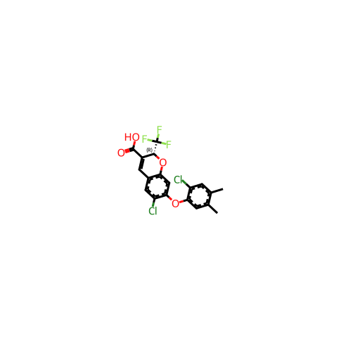 Cc1cc(Cl)c(Oc2cc3c(cc2Cl)C=C(C(=O)O)[C@H](C(F)(F)F)O3)cc1C